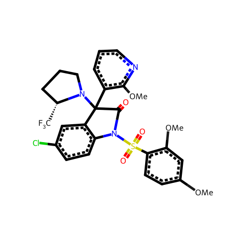 COc1ccc(S(=O)(=O)N2C(=O)C(c3cccnc3OC)(N3CCC[C@H]3C(F)(F)F)c3cc(Cl)ccc32)c(OC)c1